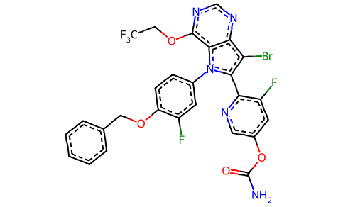 NC(=O)Oc1cnc(-c2c(Br)c3ncnc(OCC(F)(F)F)c3n2-c2ccc(OCc3ccccc3)c(F)c2)c(F)c1